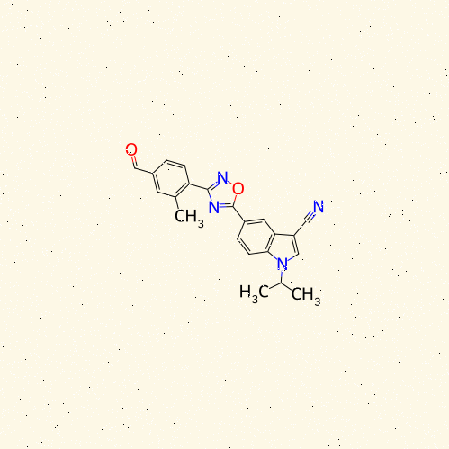 Cc1cc(C=O)ccc1-c1noc(-c2ccc3c(c2)c(C#N)cn3C(C)C)n1